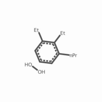 CCCc1cccc(CC)c1CC.OO